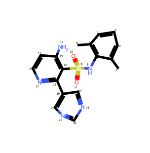 Cc1cccc(C)c1NS(=O)(=O)c1c(N)ccnc1-c1cncnc1